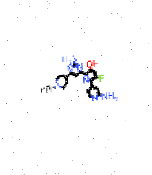 CCCN1CCC(c2cc(-c3nc(-c4ccnc(N)c4)c(F)cc3O)nc(N)n2)CC1